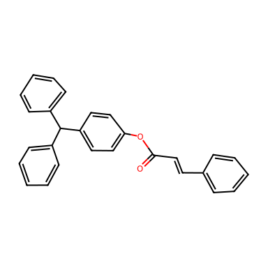 O=C(/C=C/c1ccccc1)Oc1ccc(C(c2ccccc2)c2ccccc2)cc1